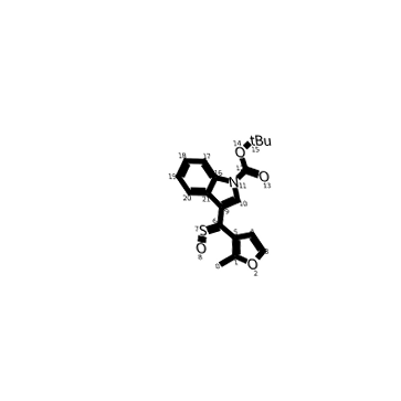 Cc1occc1C(=S=O)c1cn(C(=O)OC(C)(C)C)c2ccccc12